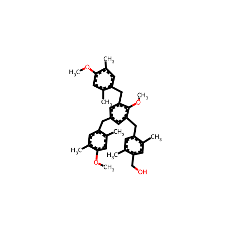 COc1cc(C)c(Cc2cc(Cc3cc(C)c(CO)cc3C)c(OC)c(Cc3cc(C)c(OC)cc3C)c2)cc1C